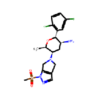 CS(=O)(=O)n1ncc2c1CN([C@@H]1C[C@H](N)[C@@H](c3cc(F)ccc3F)O[C@@H]1C(F)(F)F)C2